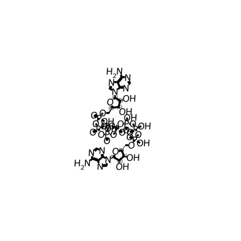 Nc1ncnc2c1ncn2[C@@H]1O[C@H](COP(=O)(O)OP(=O)(O)OP(=O)(O)OP(=O)(O)OP(=O)(O)OP(=O)(O)OP(=O)(O)OC[C@H]2O[C@@H](n3cnc4c(N)ncnc43)[C@H](O)[C@@H]2O)[C@@H](O)[C@H]1O